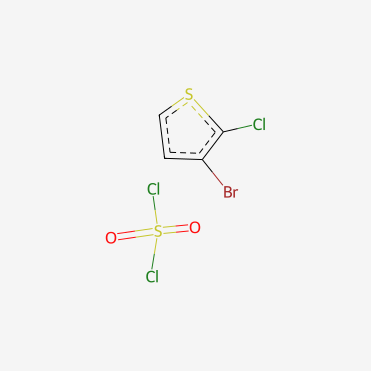 Clc1sccc1Br.O=S(=O)(Cl)Cl